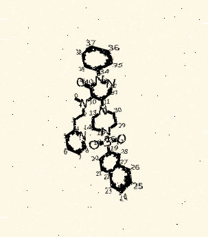 CN(CCc1ccccn1)c1c(N2CCN(S(=O)(=O)c3ccc4ccccc4c3)CC2)cnn(-c2ccccc2)c1=O